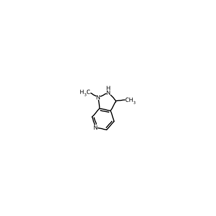 C[C]1NN(C)c2cnccc21